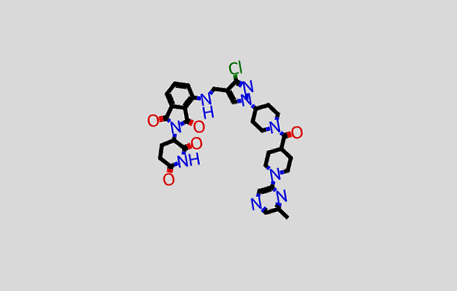 Cc1cncc(N2CCC(C(=O)N3CCC(n4cc(CNc5cccc6c5C(=O)N(C5CCC(=O)NC5=O)C6=O)c(Cl)n4)CC3)CC2)n1